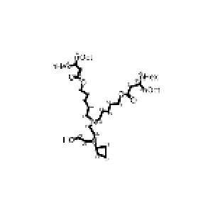 CCCCCCCCC(CCCCCC)CC(=O)OCCCCCN(CCCCCOC(=O)CC(CCCCCC)CCCCCCCC)CCN(CCO)C1CCC1